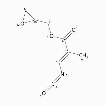 CC(=CN=C=O)C(=O)OCC1CO1